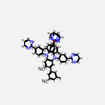 Cc1cc(C#N)cc(-c2cc(-n3c4ccc(-c5ncccn5)cc4c4cc(-c5ncccn5)ccc43)c(-n3c4ccc(-c5ncccn5)cc4c4cc(-c5ncccn5)ccc43)cc2C#N)c1